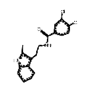 Cc1[nH]c2ccccc2c1CCNC(=O)c1ccc(Cl)c(Cl)c1